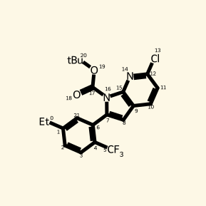 CCc1ccc(C(F)(F)F)c(-c2cc3ccc(Cl)nc3n2C(=O)OC(C)(C)C)c1